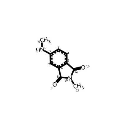 CNc1ccc2c(c1)C(=O)N(C)C2=O